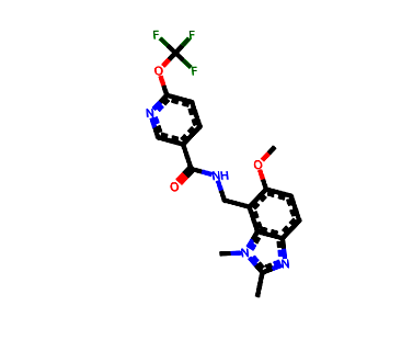 COc1ccc2nc(C)n(C)c2c1CNC(=O)c1ccc(OC(F)(F)F)nc1